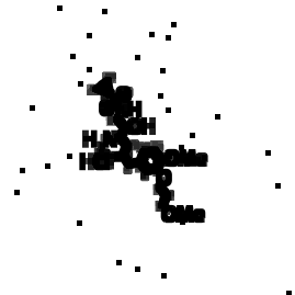 COCCCOc1cc(CC(CC(N)C(O)CNS(=O)(=O)C2CC2)C(C)C)ccc1OC.Cl